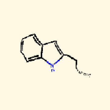 CCCC(C)Cc1cc2ccccc2[nH]1